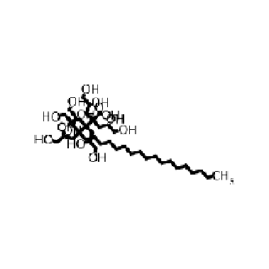 CCCCCCCCCCCCCCCCCCC(CC(O)CO)(CC(O)CO)C(CC(O)CO)(CC(O)CO)C(CC(O)CO)(CC(O)CO)C(=O)O